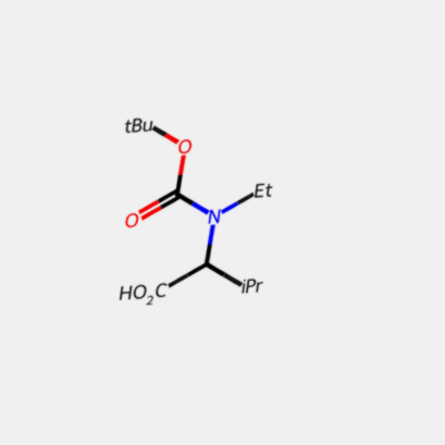 CCN(C(=O)OC(C)(C)C)C(C(=O)O)C(C)C